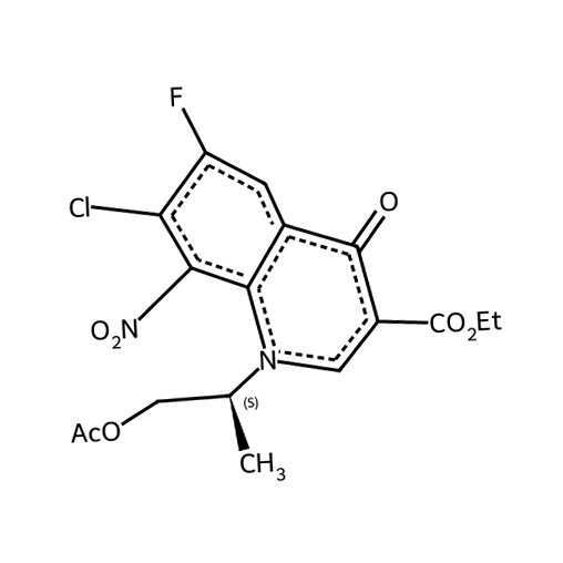 CCOC(=O)c1cn([C@@H](C)COC(C)=O)c2c([N+](=O)[O-])c(Cl)c(F)cc2c1=O